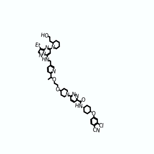 CCc1cnn2c(NCc3ccc(C(C)OCCOC4CCN(c5ccc(C(=O)N[C@H]6CC[C@H](Oc7ccc(C#N)c(Cl)c7)CC6)nn5)CC4)nc3)cc(N3CCCCC3CCO)nc12